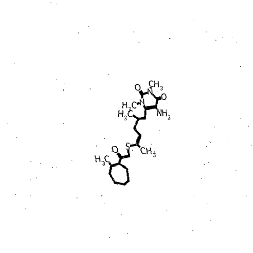 C/C(=C/CC(C)Cc1c(N)c(=O)n(C)c(=O)n1C)SCC(=O)C1CCCCCC1C